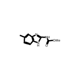 COC(=O)Nc1nc2cc(C)ccc2[nH]1